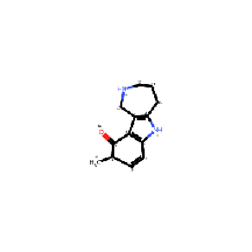 CC1C=Cc2[nH]c3c(c2C1=O)CNCCC3